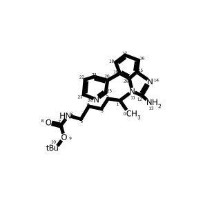 CC(CCCCNC(=O)OC(C)(C)C)n1c(N)nc2cccc(-c3cccnc3)c21